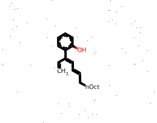 C=CC(=CC=CCCCCCCCCC)c1ccccc1O